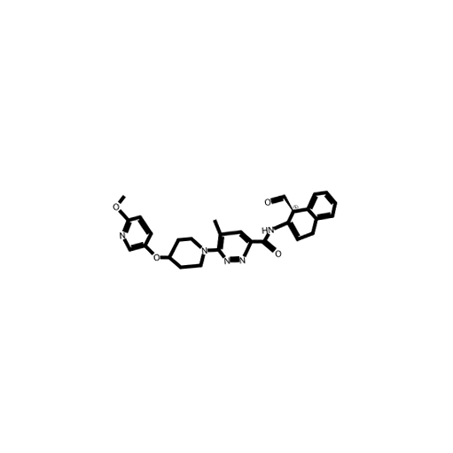 COc1ccc(OC2CCN(c3nnc(C(=O)NC4=CCc5ccccc5[C@@H]4C=O)cc3C)CC2)cn1